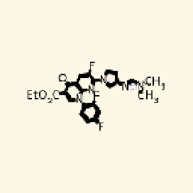 CCOC(=O)c1cn(-c2ccc(F)cc2F)c2nc(N3CCC(/N=C/N(C)C)C3)c(F)cc2c1=O